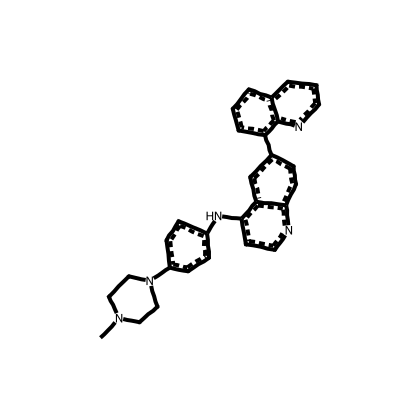 CN1CCN(c2ccc(Nc3ccnc4ccc(-c5cccc6cccnc56)cc34)cc2)CC1